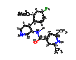 COc1cc(F)ccc1-c1ccncc1N(C)C(=O)c1cc(C(F)(F)F)nc(C(F)(F)F)c1